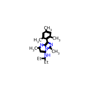 CCC(CC)Nc1cc(C)nc2c(-c3c(C)cc(C)cc3C)nc(C)n12